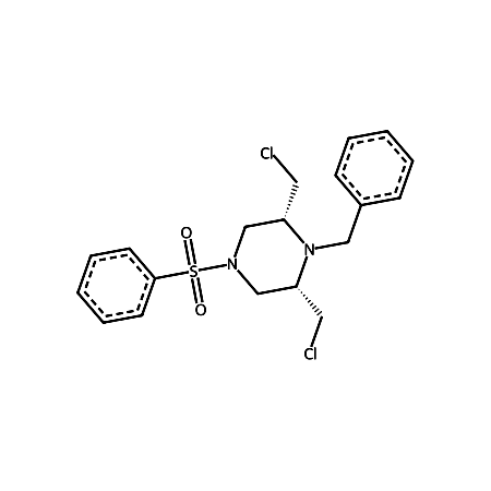 O=S(=O)(c1ccccc1)N1C[C@@H](CCl)N(Cc2ccccc2)[C@@H](CCl)C1